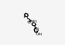 Cc1ccccc1CCC(=O)NC1CCC(c2ccc(O)cn2)CC1